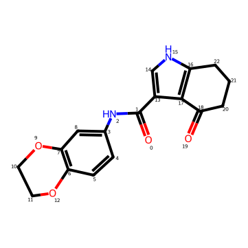 O=C(Nc1ccc2c(c1)OCCO2)c1c[nH]c2c1C(=O)CCC2